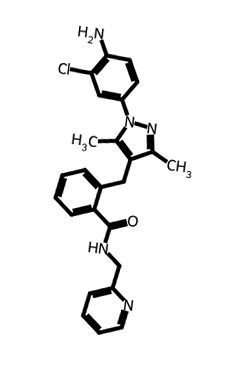 Cc1nn(-c2ccc(N)c(Cl)c2)c(C)c1Cc1ccccc1C(=O)NCc1ccccn1